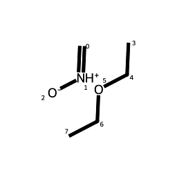 C=[NH+][O-].CCOCC